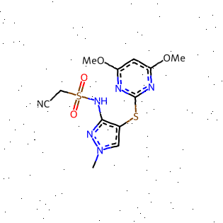 COc1cc(OC)nc(Sc2cn(C)nc2NS(=O)(=O)CC#N)n1